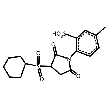 Cc1ccc(N2C(=O)CC(S(=O)(=O)C3CCCCC3)C2=O)c(S(=O)(=O)O)c1